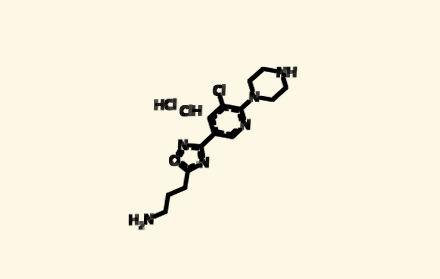 Cl.Cl.NCCCc1nc(-c2cnc(N3CCNCC3)c(Cl)c2)no1